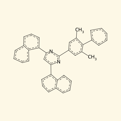 Cc1cc(-c2nc(-c3cccc4ccccc34)cc(-c3cccc4ccccc34)n2)cc(C)c1-c1ccccc1